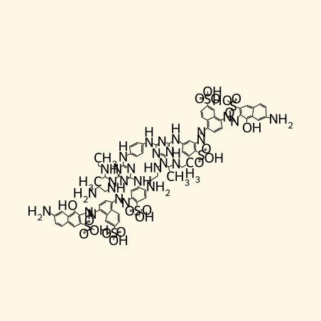 CCNC(C)N(NCCN)c1nc(Nc2ccc(Nc3nc(Nc4ccc(S(=O)(=O)O)c(N=Nc5ccc(N=Nc6c(S(=O)(=O)O)cc7ccc(N)cc7c6O)c6cc(S(=O)(=O)O)ccc56)c4)nc(N(NCCN)C(C)NCC)n3)cc2)nc(Nc2ccc(S(=O)(=O)O)c(N=Nc3ccc(N=Nc4c(S(=O)(=O)O)cc5ccc(N)cc5c4O)c4cc(S(=O)(=O)O)ccc34)c2)n1